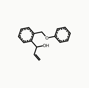 C=CC(O)c1ccccc1COc1ccccc1